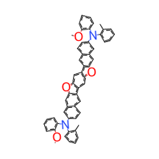 COc1ccccc1N(c1ccc2cc3c(cc2c1)oc1cc2c(cc13)oc1cc3cc(N(c4ccccc4C)c4ccccc4OC)ccc3cc12)c1ccccc1C